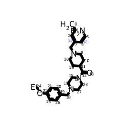 C=C/C=C(\C=C/N)CN1CCC(C(=O)N2CCN(Cc3ccc(OCC)cc3)CC2)CC1